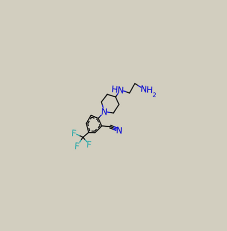 N#Cc1cc(C(F)(F)F)ccc1N1CCC(NCCN)CC1